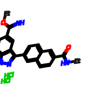 CCNC(=O)c1ccc2cc(-c3n[nH]c4ccc(C(=N)OCC)cc34)ccc2c1.Cl.Cl